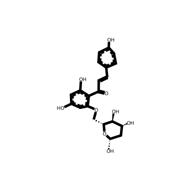 O=C(/C=C/c1ccc(O)cc1)c1c(O)cc(O)cc1OC[C@H]1O[C@@H](O)C[C@@H](O)[C@@H]1O